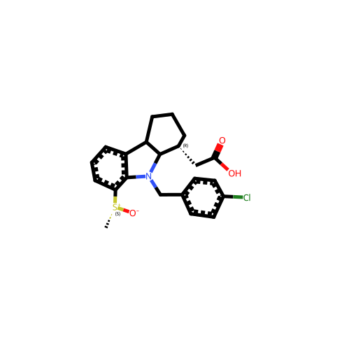 C[S@@+]([O-])c1cccc2c1N(Cc1ccc(Cl)cc1)C1C2CCC[C@@H]1CC(=O)O